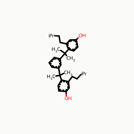 CC(C)CCc1cc(O)ccc1C(C)(C)c1cccc(C(C)(C)c2ccc(O)cc2CCC(C)C)c1